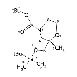 CC(C)(C)OC(=O)N1CCO[C@](C)(CO[Si](C)(C)C(C)(C)C)C1